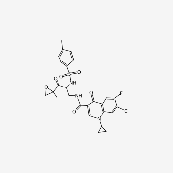 Cc1ccc(S(=O)(=O)NC(CNC(=O)c2cn(C3CC3)c3cc(Cl)c(F)cc3c2=O)C(=O)C2(C)CO2)cc1